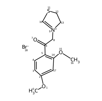 COc1ccc(C(=O)C[N+]2=CSCC2)c(OC)c1.[Br-]